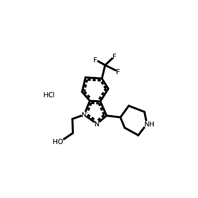 Cl.OCCn1nc(C2CCNCC2)c2cc(C(F)(F)F)ccc21